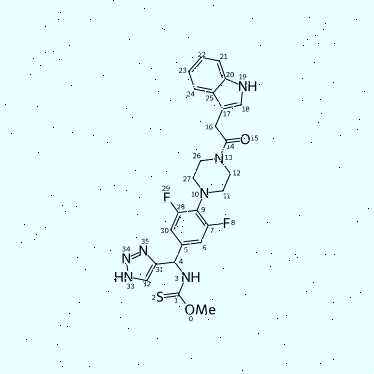 COC(=S)NC(c1cc(F)c(N2CCN(C(=O)Cc3c[nH]c4ccccc34)CC2)c(F)c1)c1c[nH]nn1